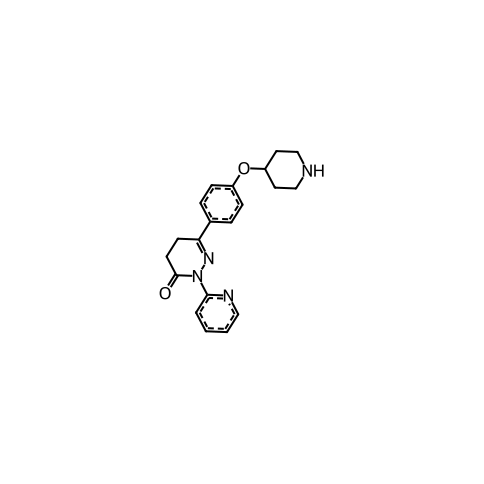 O=C1CCC(c2ccc(OC3CCNCC3)cc2)=NN1c1ccccn1